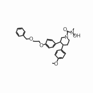 COc1ccc(C2CCN(C(=O)N(C)O)CC2c2ccc(OCCOCc3ccccc3)cc2)cc1